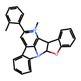 Cc1ccccc1-c1cc2c3ccccc3n3c2c([n+]1C)C1c2ccccc2OC13